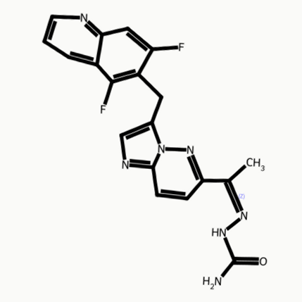 C/C(=N/NC(N)=O)c1ccc2ncc(Cc3c(F)cc4ncccc4c3F)n2n1